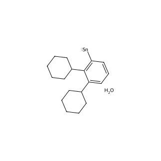 O.[Sn][c]1cccc(C2CCCCC2)c1C1CCCCC1